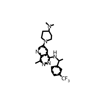 Cc1nnc(NC(C)c2cccc(C(F)(F)F)c2)c2cc(N3CCC(N(C)C)CC3)cnc12